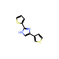 c1csc(-c2nc(-c3ccsc3)c[nH]2)c1